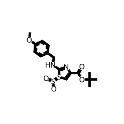 COc1ccc(CNC2=NC(C(=O)OC(C)(C)C)=CS2=S(=O)=O)cc1